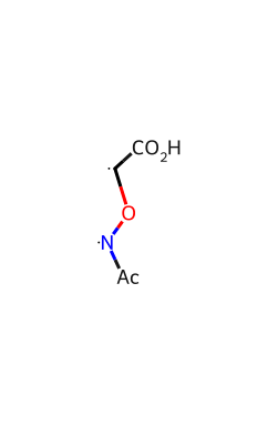 CC(=O)[N]O[CH]C(=O)O